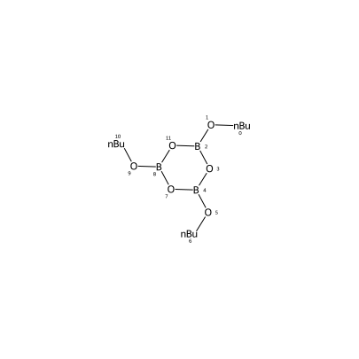 CCCCOB1OB(OCCCC)OB(OCCCC)O1